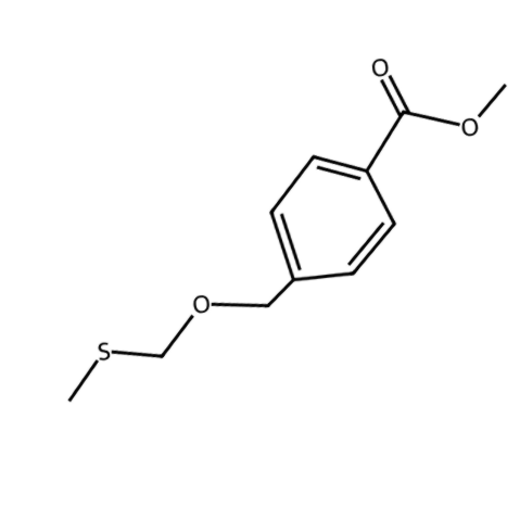 COC(=O)c1ccc(COCSC)cc1